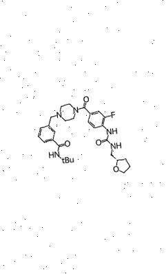 CC(C)(C)NC(=O)c1cccc(CN2CCN(C(=O)c3ccc(NC(=O)NC[C@H]4CCCO4)c(F)c3)CC2)c1